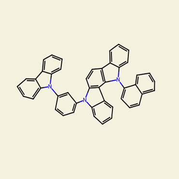 c1cc(-n2c3ccccc3c3ccccc32)cc(-n2c3ccccc3c3c2ccc2c4ccccc4n(-c4cccc5ccccc45)c23)c1